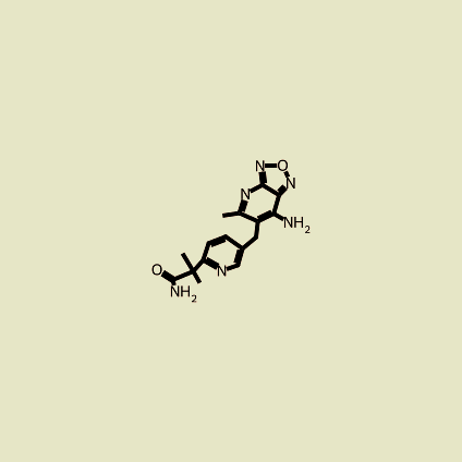 Cc1nc2nonc2c(N)c1Cc1ccc(C(C)(C)C(N)=O)nc1